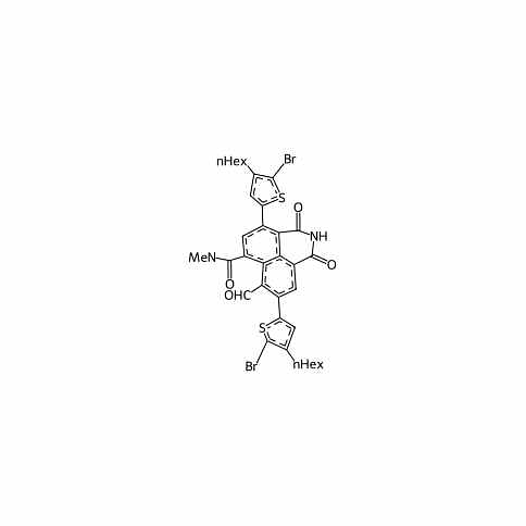 CCCCCCc1cc(-c2cc3c4c(c(-c5cc(CCCCCC)c(Br)s5)cc(C(=O)NC)c4c2C=O)C(=O)NC3=O)sc1Br